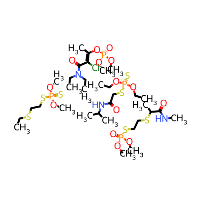 CCN(CC)C(=O)/C(Cl)=C(\C)OP(=O)(OC)OC.CCOP(=S)(OCC)SCC(=O)NC(C)C.CCSCCSP(=S)(OC)OC.CNC(=O)C(C)SCCSP(=O)(OC)OC